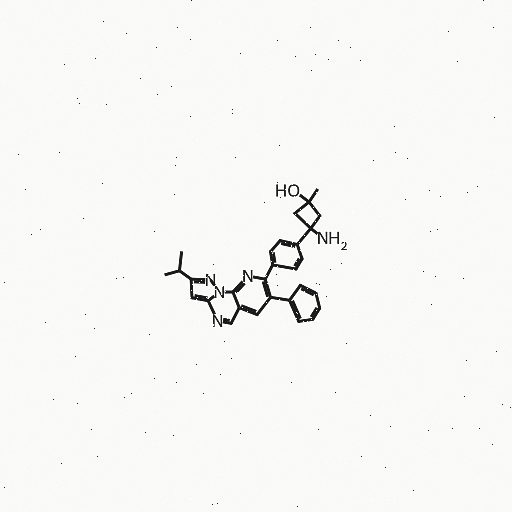 CC(C)c1cc2ncc3cc(-c4ccccc4)c(-c4ccc(C5(N)CC(C)(O)C5)cc4)nc3n2n1